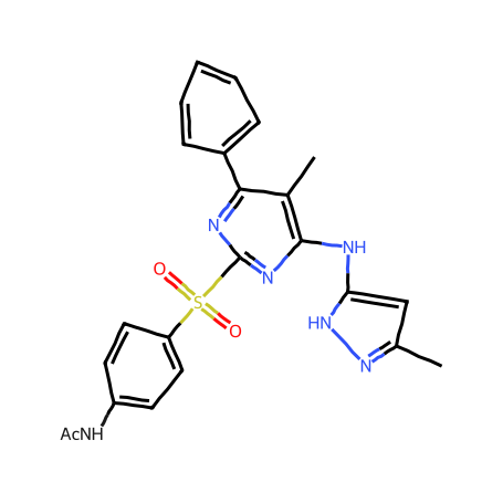 CC(=O)Nc1ccc(S(=O)(=O)c2nc(Nc3cc(C)n[nH]3)c(C)c(-c3ccccc3)n2)cc1